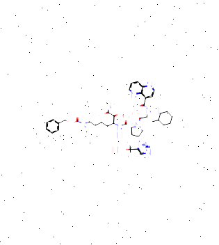 CC(C)(O)c1cnnn1[C@H]1C[C@@H](C(=O)NC(CCCCNC(=O)OCc2ccccc2)C(=O)C(N)=O)N(C(=O)[C@@H](CC2CCCCC2)NC(=O)c2ccnc3cccnc23)C1